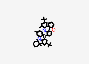 Cc1cc2c3c(c1)N1c4c(cc(C(C)(C)C)cc4C4(C)CCCCC14C)B3c1ccc3oc4ccccc4c3c1N2c1c(C)cc(C(C)(C)C)cc1C